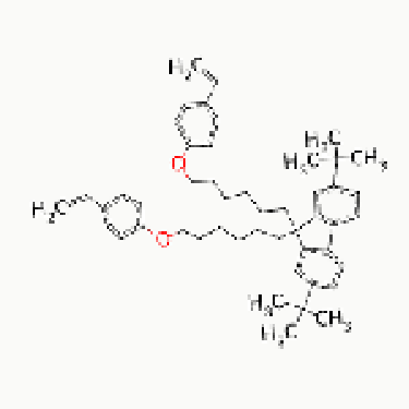 C=Cc1ccc(OCCCCCCC2(CCCCCCOc3ccc(C=C)cc3)c3cc(C(C)(C)C)ccc3-c3ccc(C(C)(C)C)cc32)cc1